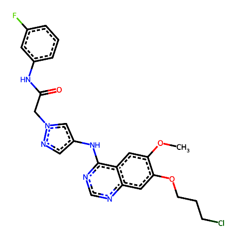 COc1cc2c(Nc3cnn(CC(=O)Nc4cccc(F)c4)c3)ncnc2cc1OCCCCl